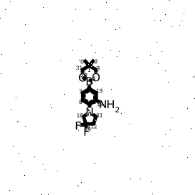 CC1(C)COB(c2ccc(N3CCC(F)(F)C3)c(N)c2)OC1